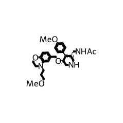 COCCCN1CCOc2ccc(CO[C@H]3CNC[C@@H](CNC(C)=O)[C@@H]3c3ccc(OC)cc3)cc21